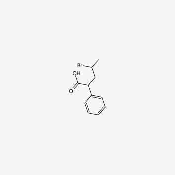 CC(Br)CC(C(=O)O)c1ccccc1